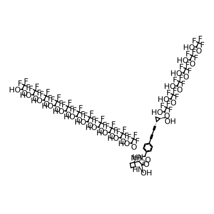 NC1([C@H](NC(=O)c2ccc(C#CC#C[C@@H]3C[C@H]3CO)cc2)C(=O)NO)CCC1.O=C(O)C(F)(F)F.O=C(O)C(F)(F)F.O=C(O)C(F)(F)F.O=C(O)C(F)(F)F.O=C(O)C(F)(F)F.O=C(O)C(F)(F)F.O=C(O)C(F)(F)F.O=C(O)C(F)(F)F.O=C(O)C(F)(F)F.O=C(O)C(F)(F)F.O=C(O)C(F)(F)F.O=C(O)C(F)(F)F.O=C(O)C(F)(F)F.O=C(O)C(F)(F)F.O=C(O)C(F)(F)F.O=C(O)C(F)(F)F.O=C(O)C(F)(F)F